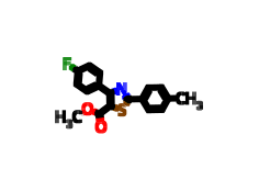 COC(=O)c1sc(-c2ccc(C)cc2)nc1-c1ccc(F)cc1